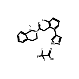 C[C@H]1c2ccccc2CCN1C(=O)Cc1c(Cl)cccc1-c1cn[nH]c1.O=C(O)C(F)(F)F